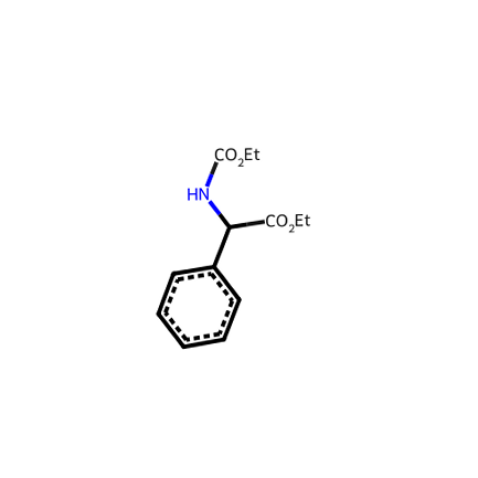 CCOC(=O)NC(C(=O)OCC)c1ccccc1